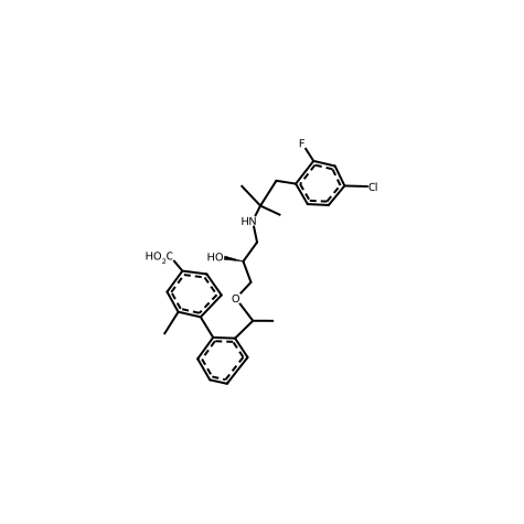 Cc1cc(C(=O)O)ccc1-c1ccccc1C(C)OC[C@@H](O)CNC(C)(C)Cc1ccc(Cl)cc1F